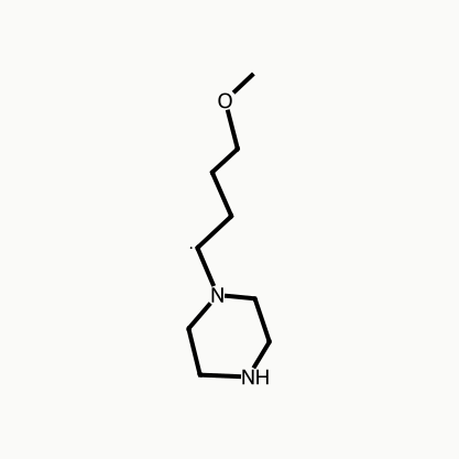 COCCC[CH]N1CCNCC1